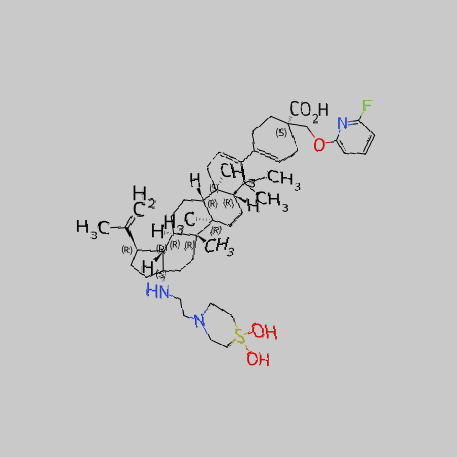 C=C(C)[C@@H]1CC[C@]2(NCCN3CCS(O)(O)CC3)CC[C@]3(C)[C@H](CC[C@@H]4[C@@]5(C)CC=C(C6=CC[C@@](COc7cccc(F)n7)(C(=O)O)CC6)C(C)(C)[C@@H]5CC[C@]43C)[C@@H]12